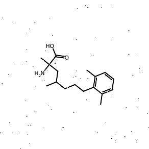 Cc1cccc(C)c1CCCC(C)CC(C)(N)C(=O)O